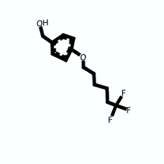 OCc1ccc(OCCCCCC(F)(F)F)cc1